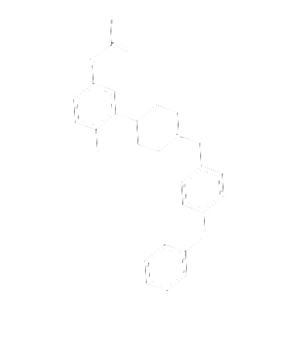 Cc1ccc(NC(=O)C(C)C)cc1C1CCN(Cc2ccc(Sc3ccccc3)cc2)CC1